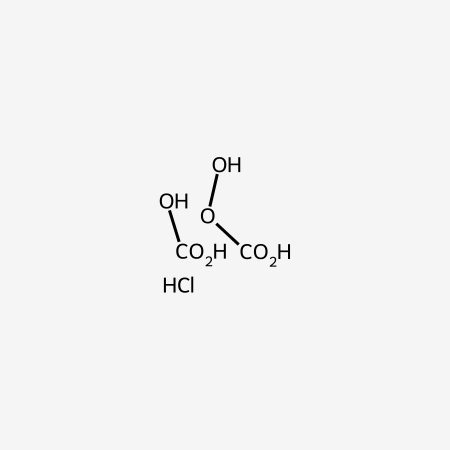 Cl.O=C(O)O.O=C(O)OO